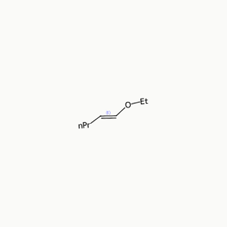 CCC/C=C/OCC